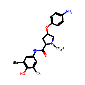 CC(C)(C)c1cc(NC(=O)C2CC(Oc3ccc(N)cc3)CN2C(=O)O)cc(C(C)(C)C)c1O